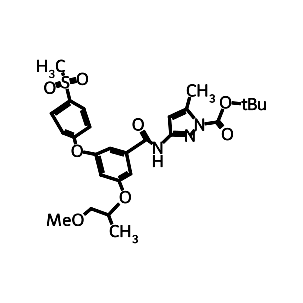 COCC(C)Oc1cc(Oc2ccc(S(C)(=O)=O)cc2)cc(C(=O)Nc2cc(C)n(C(=O)OC(C)(C)C)n2)c1